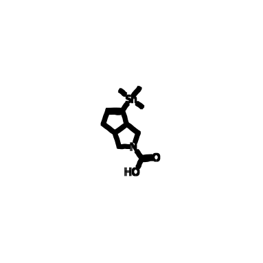 [CH3][Sn]([CH3])([CH3])[C]1=CCC2CN(C(=O)O)CC12